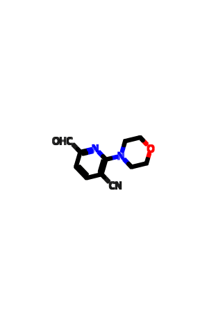 N#Cc1ccc(C=O)nc1N1CCOCC1